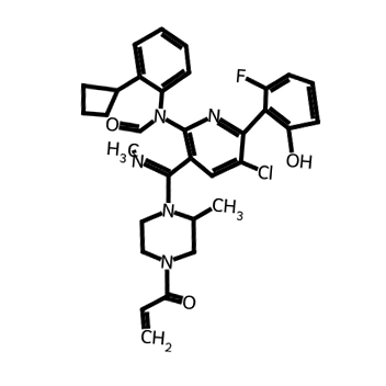 C=CC(=O)N1CCN(/C(=N/C)c2cc(Cl)c(-c3c(O)cccc3F)nc2N(C=O)c2ccccc2C2CCC2)C(C)C1